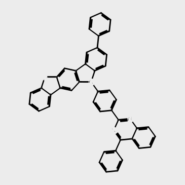 c1ccc(-c2ccc3c(c2)c2cc4sc5ccccc5c4cc2n3-c2ccc(-c3nc(-c4ccccc4)c4ccccc4n3)cc2)cc1